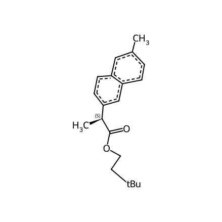 Cc1ccc2cc([C@H](C)C(=O)OCCC(C)(C)C)ccc2c1